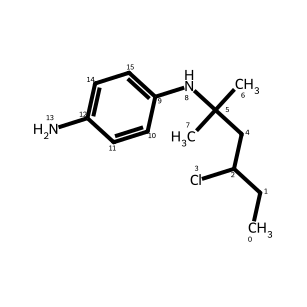 CCC(Cl)CC(C)(C)Nc1ccc(N)cc1